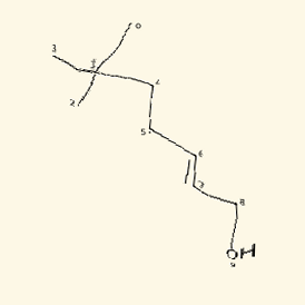 CC(C)(C)C[CH]C=CCO